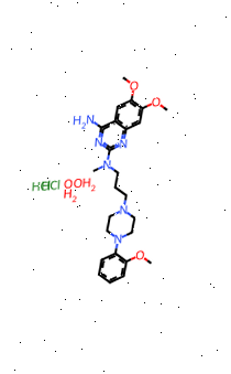 COc1cc2nc(N(C)CCCN3CCN(c4ccccc4OC)CC3)nc(N)c2cc1OC.Cl.Cl.O.O